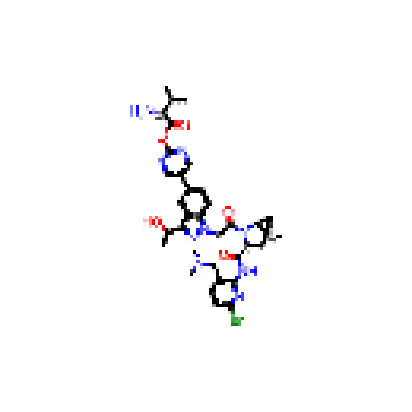 CC(O)c1nn(CC(=O)N2C3C[C@]3(C)C[C@H]2C(=O)Nc2nc(Br)ccc2CN(C)C)c2ccc(-c3cnc(OC(=O)[C@@H](N)C(C)C)nc3)cc12